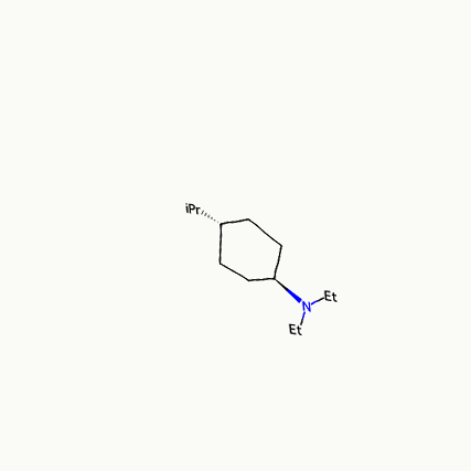 CCN(CC)[C@H]1CC[C@H](C(C)C)CC1